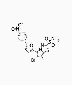 NS(=O)(=O)c1nn2c(-c3ccc(-c4ccc([N+](=O)[O-])cc4)o3)c(Br)nc2s1